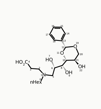 CCCCCCN(CCC(=O)O)C[C@H](O)[C@@H](O)[C@@H]1O[C@H](c2ccccc2)OC[C@H]1O